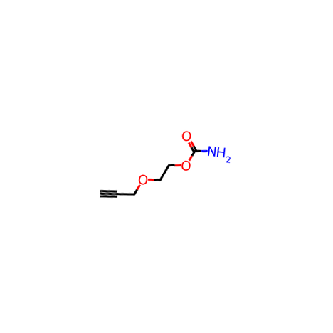 C#CCOCCOC(N)=O